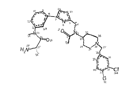 CC(=O)N(Sc1nc(-c2cccc(N(C)C(=O)[C@H](C)N)c2)cs1)C1CCN(Cc2ccc(Cl)c(Cl)c2)CC1